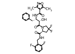 Cc1noc(C)c1C(=O)N[C@@H](Cc1ccccc1)[C@H](O)C(=O)N1CC(F)(F)C[C@H]1C(=O)NCc1c(F)cccc1F